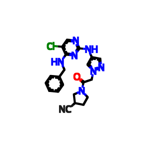 N#CC1CCN(C(=O)Cn2cc(Nc3ncc(Cl)c(NCc4ccccc4)n3)cn2)C1